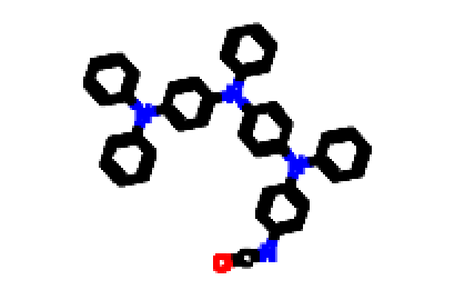 O=C=Nc1ccc(N(c2ccccc2)c2ccc(N(c3ccccc3)c3ccc(N(c4ccccc4)c4ccccc4)cc3)cc2)cc1